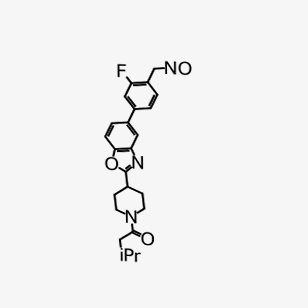 CC(C)CC(=O)N1CCC(c2nc3cc(-c4ccc(CN=O)c(F)c4)ccc3o2)CC1